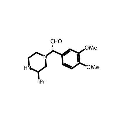 COc1ccc([C@@H](C=O)N2CCNC(C(C)C)C2)cc1OC